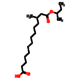 CCC(C)OC(=O)CC(C)CCCCCCCCCCC(=O)O